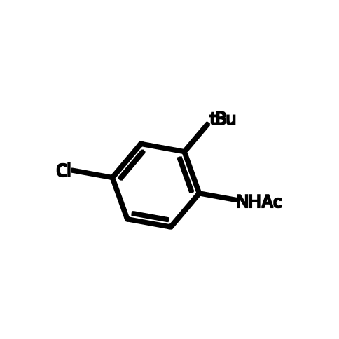 CC(=O)Nc1ccc(Cl)cc1C(C)(C)C